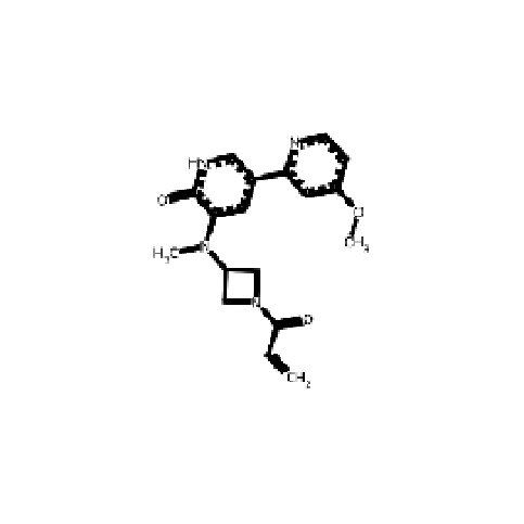 C=CC(=O)N1CC(N(C)c2cc(-c3cc(OC)ccn3)c[nH]c2=O)C1